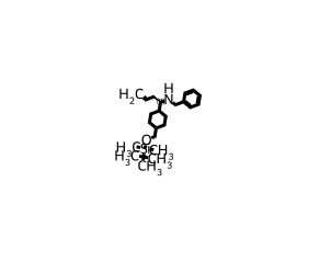 C=CC[C@@H](NCc1ccccc1)C1CCC(CO[Si](C)(C)C(C)(C)C)CC1